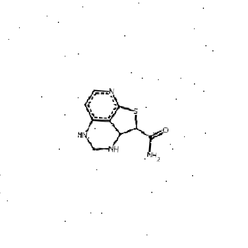 NC(=O)C1Sc2nccc3c2C1NCN3